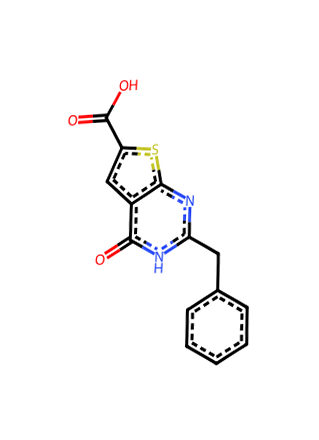 O=C(O)c1cc2c(=O)[nH]c(Cc3ccccc3)nc2s1